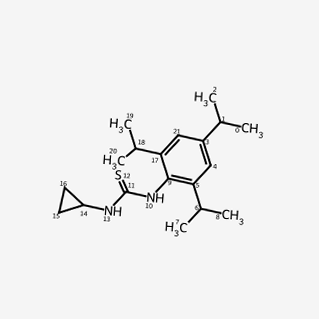 CC(C)c1cc(C(C)C)c(NC(=S)NC2CC2)c(C(C)C)c1